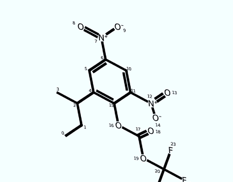 CCC(C)c1cc([N+](=O)[O-])cc([N+](=O)[O-])c1OC(=O)OC(F)(F)F